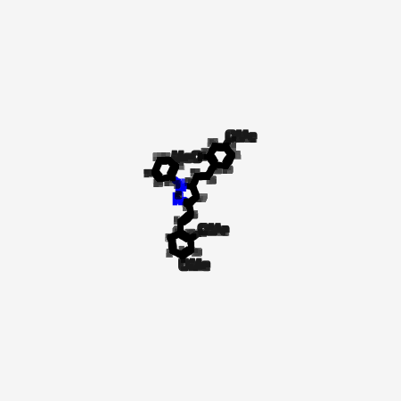 COc1ccc(C=CC2=NN(c3ccccc3)C(C=Cc3ccc(OC)cc3OC)C2)c(OC)c1